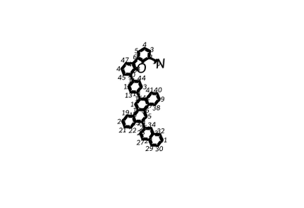 N#Cc1cccc2c1oc1c(-c3ccc(-c4cc5c6ccccc6c(-c6ccc7ccccc7c6)cc5c5ccccc45)cc3)cccc12